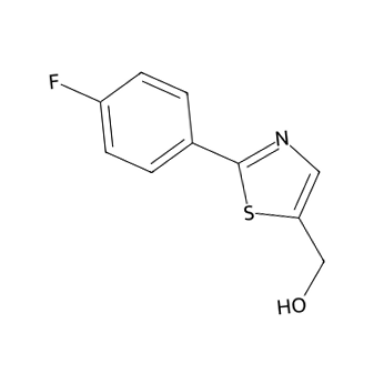 OCc1cnc(-c2ccc(F)cc2)s1